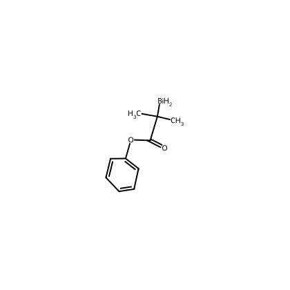 C[C](C)([BiH2])C(=O)Oc1ccccc1